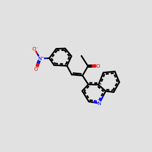 CC(=O)C(=Cc1cccc([N+](=O)[O-])c1)c1ccnc2ccccc12